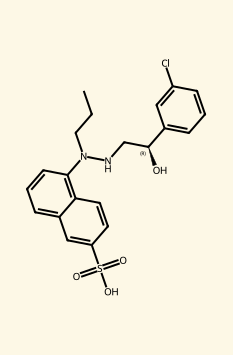 CCCN(NC[C@H](O)c1cccc(Cl)c1)c1cccc2cc(S(=O)(=O)O)ccc12